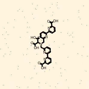 O=C(O)c1cccc(-c2cccc(CN(Cc3cccc(-c4cccc(C(=O)O)n4)n3)C(C(=O)O)C(=O)O)n2)n1